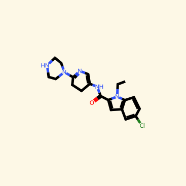 CCn1c(C(=O)NC2=CN=C(N3CCNCC3)CC2)cc2cc(Cl)ccc21